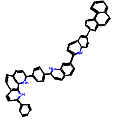 C1=CC2NC(c3ccc4c(c3)NC(c3ccc(C5C=Cc6ccc7c(c6N5)NC(c5ccccc5)C=C7)cc3)C=C4)=CC=C2C=C1c1ccc2c(ccc3ccccc32)c1